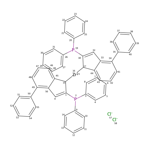 C1=C(P(c2ccccc2)c2ccccc2)[CH]([Zr+2][CH]2C(P(c3ccccc3)c3ccccc3)=Cc3c(-c4ccccc4)cccc32)c2cccc(-c3ccccc3)c21.[Cl-].[Cl-]